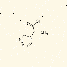 CC(C(=O)O)N1C=CC=NC1